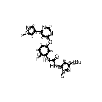 Cn1cc(-c2cc(Oc3ccc(F)c(NC(=O)Nc4cc(C(C)(C)C)nn4C)c3)ncn2)cn1